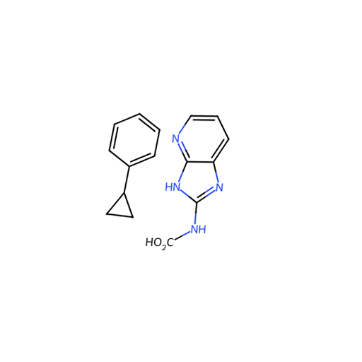 O=C(O)Nc1nc2cccnc2[nH]1.c1ccc(C2CC2)cc1